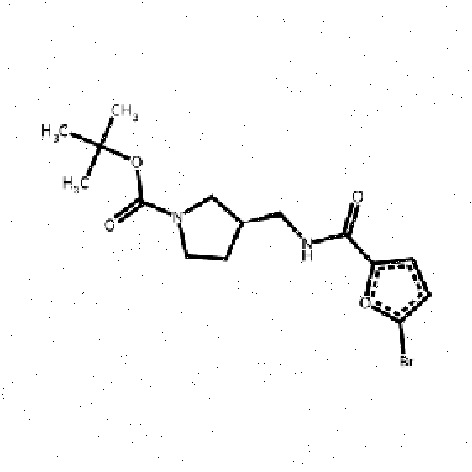 CC(C)(C)OC(=O)N1CC[C@H](CNC(=O)c2ccc(Br)o2)C1